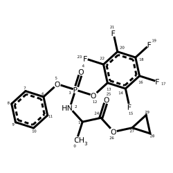 CC(NP(=O)(Oc1ccccc1)Oc1c(F)c(F)c(F)c(F)c1F)C(=O)OC1CC1